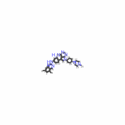 Cc1cc(C)c2cnc(Nc3ccc(-c4cn([C@H]5CC[C@H](N6CCN(C)CC6)CC5)c5ncnc(N)c45)cc3)nc2c1